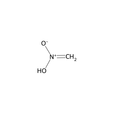 C=[N+]([O-])O